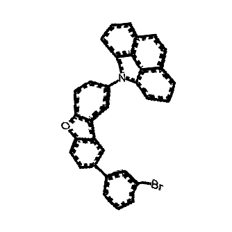 Brc1cccc(-c2ccc3oc4ccc(-n5c6cccc7ccc8cccc5c8c76)cc4c3c2)c1